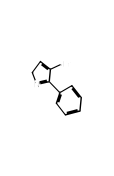 CC(C)C1=CCN=C1c1ccccc1